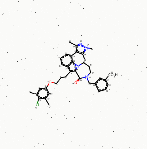 Cc1cc(OCCCc2c3n(c4c(-c5c(C)nn(C)c5C)cccc24)CCCN(Cc2cccc(C(=O)O)c2)C3=O)cc(C)c1Cl